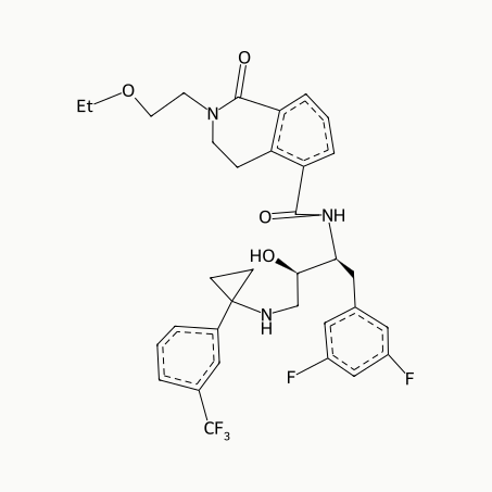 CCOCCN1CCc2c(C(=O)N[C@@H](Cc3cc(F)cc(F)c3)[C@H](O)CNC3(c4cccc(C(F)(F)F)c4)CC3)cccc2C1=O